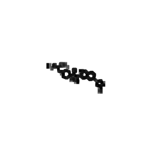 CC(C)CN1CCC(P)(C(=O)Nc2cc3cc(-c4cn[nH]c4)ccc3cn2)CC1